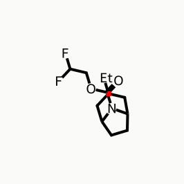 CCC1CC2CCC(C1)N2C(=O)OCC(F)F